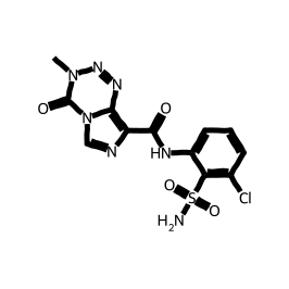 Cn1nnc2c(C(=O)Nc3cccc(Cl)c3S(N)(=O)=O)ncn2c1=O